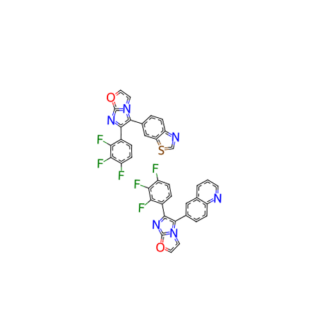 Fc1ccc(-c2nc3occn3c2-c2ccc3ncccc3c2)c(F)c1F.Fc1ccc(-c2nc3occn3c2-c2ccc3ncsc3c2)c(F)c1F